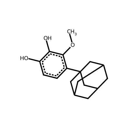 COc1c(C23CC4CC(CC(C4)C2)C3)ccc(O)c1O